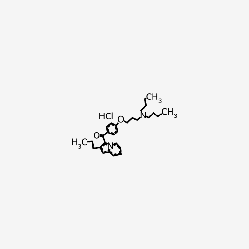 CCCCN(CCCC)CCCOc1ccc(C(=O)c2c(CCC)cc3ccccn23)cc1.Cl